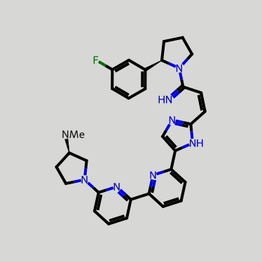 CN[C@@H]1CCN(c2cccc(-c3cccc(-c4cnc(/C=C\C(=N)N5CCC[C@@H]5c5cccc(F)c5)[nH]4)n3)n2)C1